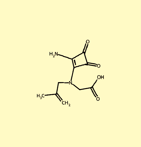 C=C(C)CN(CC(=O)O)c1c(N)c(=O)c1=O